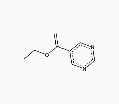 C=C(OCC)c1cncnc1